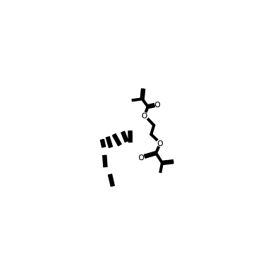 C=C.C=C.C=C.C=C.C=C.C=C.C=C.C=C(C)C(=O)OCCOC(=O)C(=C)C